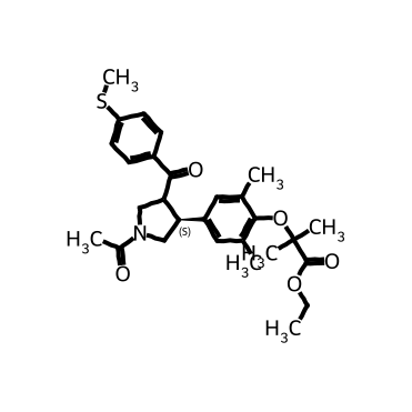 CCOC(=O)C(C)(C)Oc1c(C)cc([C@H]2CN(C(C)=O)CC2C(=O)c2ccc(SC)cc2)cc1C